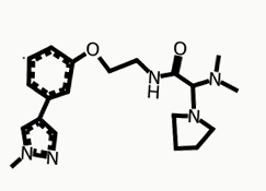 CN(C)C(C(=O)NCCOc1c[c]cc(-c2cnn(C)c2)c1)N1CCCC1